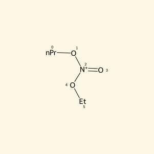 CCCO[N+](=O)OCC